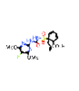 C=CCC1(S(=O)(=O)NC(=O)Nc2nc(OC)c(F)c(OC)n2)C=CC=CC1C(=O)O